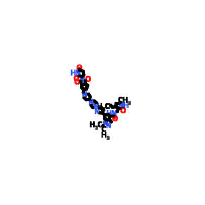 CCCc1cc(C)[nH]c(=O)c1CNC(=O)c1cc(-c2ccc(N3CCN(C4CCN(Cc5ccc6c(c5)C(=O)N(C5CCC(=O)NC5=O)C6=O)CC4)CC3)nc2)cc2c1cnn2C(C)C